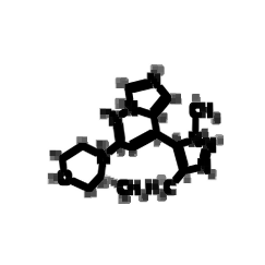 Cc1nnn(C)c1-c1cc(N2CCOC[C@H]2C)nn2cncc12